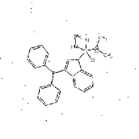 C[SiH](C)[Ti]([Cl])([Cl])([NH]C(C)(C)C)[CH]1C=C(P(c2ccccc2)c2ccccc2)c2ccccc21